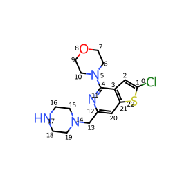 Clc1cc2c(N3CCOCC3)nc(CN3CCNCC3)cc2s1